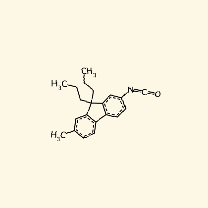 CCCC1(CCC)c2cc(C)ccc2-c2ccc(N=C=O)cc21